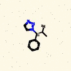 [2H]C(C)[C@H](c1ccccc1)n1ccnn1